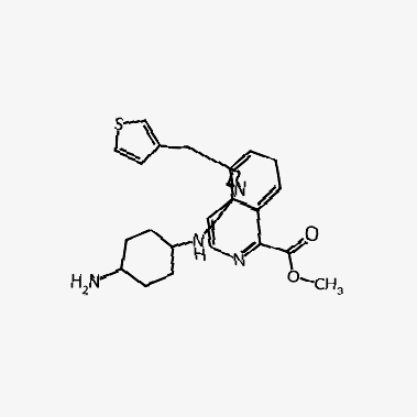 COC(=O)C1=NC=CC23C(=CCC=C12)C(Cc1ccsc1)=CN3NC1CCC(N)CC1